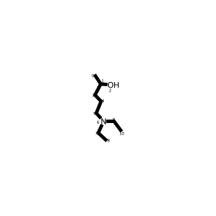 [CH2]C(O)CCCN(CC)CC